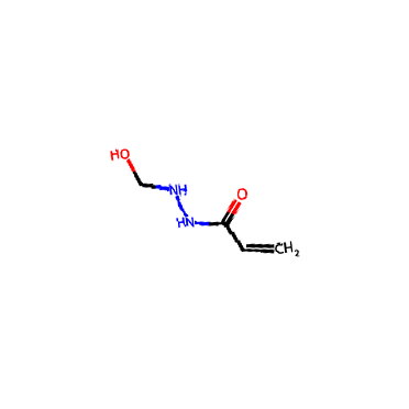 C=CC(=O)NNCO